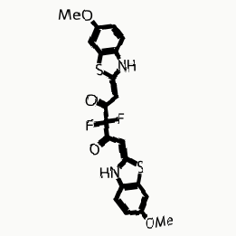 COc1ccc2c(c1)SC(=CC(=O)C(F)(F)C(=O)C=C1Nc3ccc(OC)cc3S1)N2